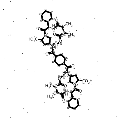 C[C@@H](C(=O)N[C@H](C(=O)N1C[C@@H](NC(=O)C2CCC(C(=O)N[C@H]3C[C@@H](C(=O)O)N(C(=O)[C@@H](NC(=O)[C@H](C)N(C)C(=O)OC(C)(C)C)C4CCCCC4)C3)CC2)C[C@H]1C(=O)O)C1CCCCC1)N(C)C(=O)OC(C)(C)C